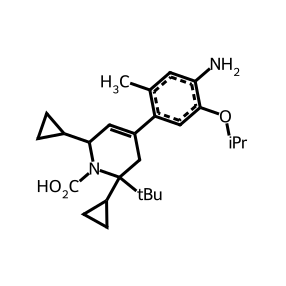 Cc1cc(N)c(OC(C)C)cc1C1=CC(C2CC2)N(C(=O)O)C(C2CC2)(C(C)(C)C)C1